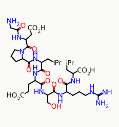 CC(C)CC(NC(=O)C(CCCNC(=N)N)NC(=O)C(CO)NC(=O)C(CCC(=O)O)NC(=O)C(CC(C)C)NC(=O)C1CCCN1C(=O)C(CC(=O)O)NC(=O)CN)C(=O)O